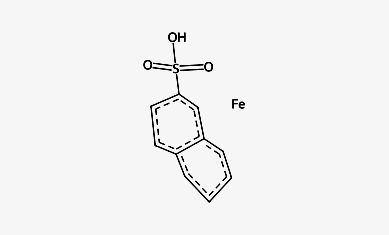 O=S(=O)(O)c1ccc2ccccc2c1.[Fe]